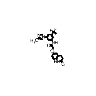 Cc1cn(-c2cc(NC(=O)COc3ccc4c(c3)CCC(=O)N4)cc(C(F)(F)F)c2)cn1